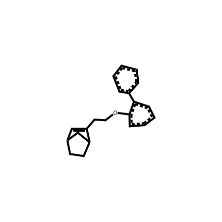 C1=C(CCOc2ccccc2-c2ccccc2)C2CCC1C2